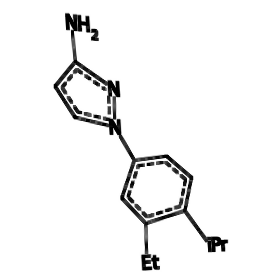 CCc1cc(-n2ccc(N)n2)ccc1C(C)C